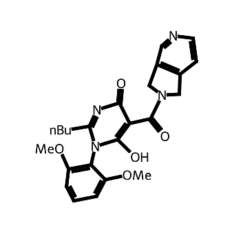 CCCCc1nc(=O)c(C(=O)N2Cc3ccncc3C2)c(O)n1-c1c(OC)cccc1OC